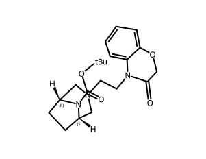 CC(C)(C)OC(=O)N1[C@@H]2CC[C@H]1CN(CCN1C(=O)COc3ccccc31)C2